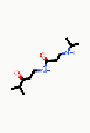 CC(C)NCCC(=O)NCCC(=O)C(C)C